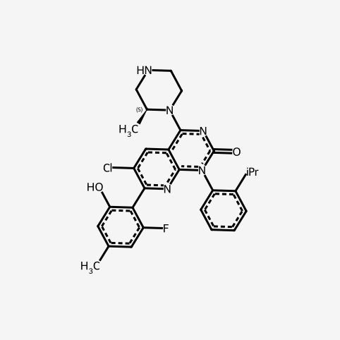 Cc1cc(O)c(-c2nc3c(cc2Cl)c(N2CCNC[C@@H]2C)nc(=O)n3-c2ccccc2C(C)C)c(F)c1